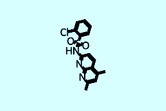 Cc1cc(C)c2ccc(NS(=O)(=O)c3ccccc3Cl)nc2n1